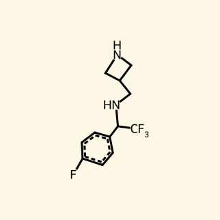 Fc1ccc(C(NCC2CNC2)C(F)(F)F)cc1